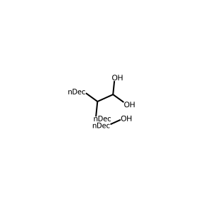 CCCCCCCCCCC(CCCCCCCCCC)C(O)O.CCCCCCCCCCO